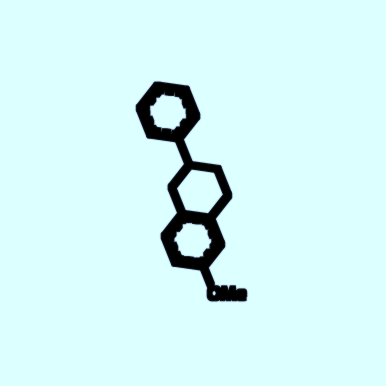 COc1ccc2c(c1)CCC(c1ccccc1)C2